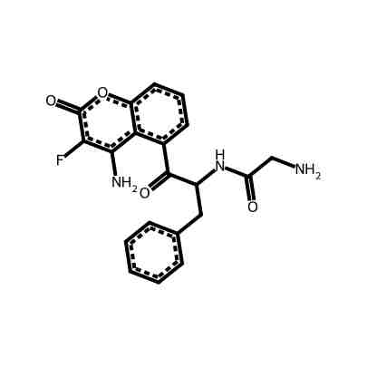 NCC(=O)NC(Cc1ccccc1)C(=O)c1cccc2oc(=O)c(F)c(N)c12